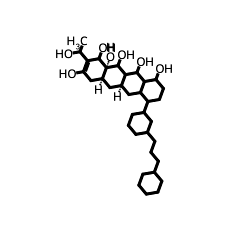 CC(O)C1=C(O)C[C@@H]2C[C@@H]3CC4C(C5CCCC(CCCC6CCCCC6)C5)CCC(O)C4C(O)C3C(O)[C@]2(O)C1O